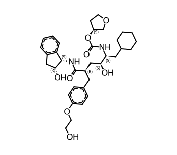 O=C(N[C@@H](CC1CCCCC1)[C@@H](O)C[C@@H](Cc1ccc(OCCO)cc1)C(=O)N[C@H]1c2ccccc2C[C@H]1O)O[C@H]1CCOC1